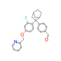 O=Cc1ccc(C2(c3ccc(OCc4ccccn4)cc3F)CC3CCC2C3)cc1